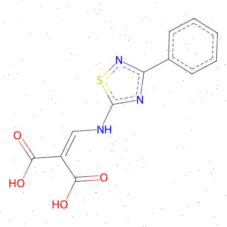 O=C(O)C(=CNc1nc(-c2ccccc2)ns1)C(=O)O